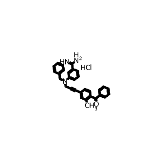 Cc1cc(C#CCN(Cc2ccccc2)c2cccc(C(=N)N)c2)ccc1C(=O)c1ccccc1.Cl